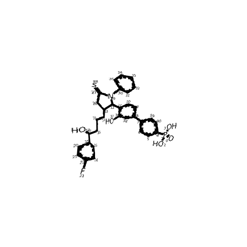 O=P(O)(O)c1ccc(-c2ccc(C3C(CCCC(O)c4ccc(F)cc4)CC(=S)N3c3ccccc3)c(O)c2)cc1